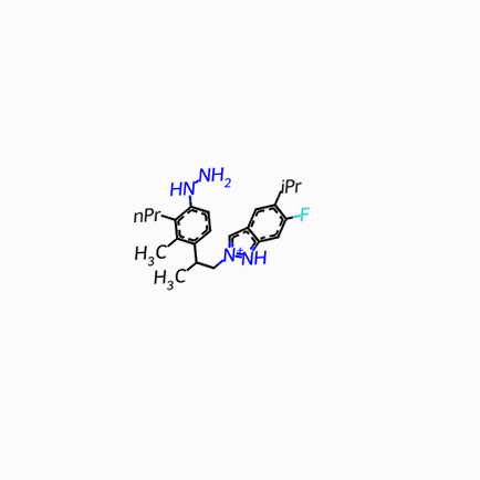 CCCc1c(NN)ccc(C(C)C[n+]2cc3cc(C(C)C)c(F)cc3[nH]2)c1C